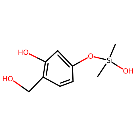 C[Si](C)(O)Oc1ccc(CO)c(O)c1